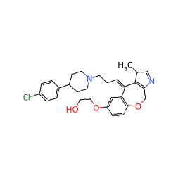 CC1C=NC2=C1C(=CCCN1CCC(c3ccc(Cl)cc3)CC1)c1cc(OCCO)ccc1OC2